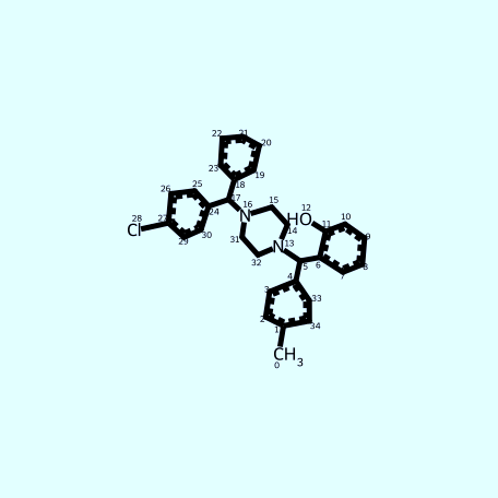 Cc1ccc(C(c2ccccc2O)N2CCN(C(c3ccccc3)c3ccc(Cl)cc3)CC2)cc1